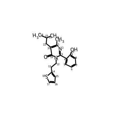 Cc1nc(-c2ccccc2O)n(CCc2cccs2)c(=O)c1CC(C)C